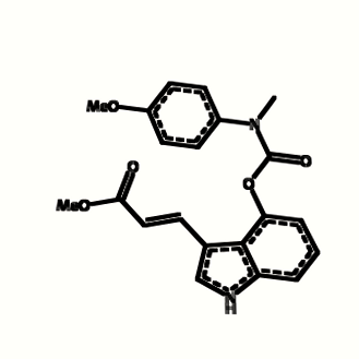 COC(=O)/C=C/c1c[nH]c2cccc(OC(=O)N(C)c3ccc(OC)cc3)c12